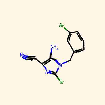 N#Cc1nc(Br)n(Cc2cccc(Br)c2)c1N